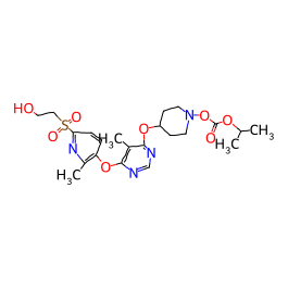 Cc1nc(S(=O)(=O)CCO)ccc1Oc1ncnc(OC2CCN(OC(=O)OC(C)C)CC2)c1C